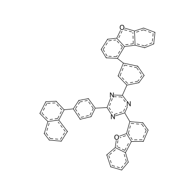 c1cc(-c2nc(-c3ccc(-c4cccc5ccccc45)cc3)nc(-c3cccc4c3oc3ccccc34)n2)cc(-c2cccc3oc4ccccc4c23)c1